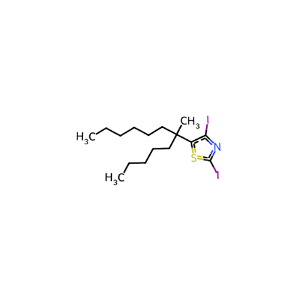 CCCCCCC(C)(CCCCC)c1sc(I)nc1I